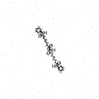 O=C(CCCCCCC(=O)Nc1ccccc1)NOC(=O)CCCCCCC(=O)Nc1ccccc1